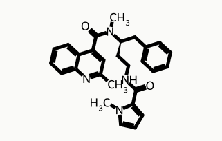 Cc1cc(C(=O)N(C)[C@H](CCNC(=O)c2cccn2C)Cc2ccccc2)c2ccccc2n1